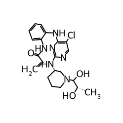 C=CC(=O)Nc1ccccc1Nc1nc(N[C@H]2CCCN(C(O)[C@H](C)O)C2)ncc1Cl